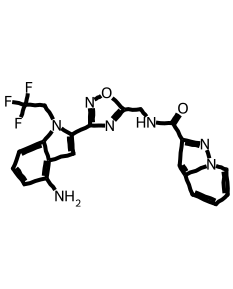 Nc1cccc2c1cc(-c1noc(CNC(=O)c3cc4ccccn4n3)n1)n2CC(F)(F)F